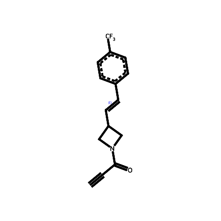 C#CC(=O)N1CC(/C=C/c2ccc(C(F)(F)F)cc2)C1